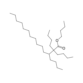 CCCCCCCCCCCC(CCCC)C(CCCC)(CCCC)C(=O)OCCCC